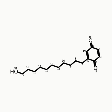 O=C1C=CC(=O)C(CCCCCCCCCCCO)=C1